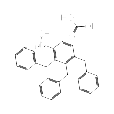 CN(C)c1ccc(Cc2ccccc2)c(Cc2ccccc2)c1Cc1ccccc1.O=C(O)O